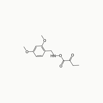 CCC(=O)C(=O)ONCc1ccc(OC)cc1OC